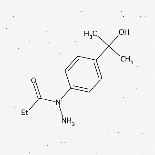 CCC(=O)N(N)c1ccc(C(C)(C)O)cc1